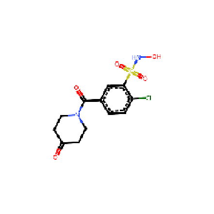 O=C1CCN(C(=O)c2ccc(Cl)c(S(=O)(=O)NO)c2)CC1